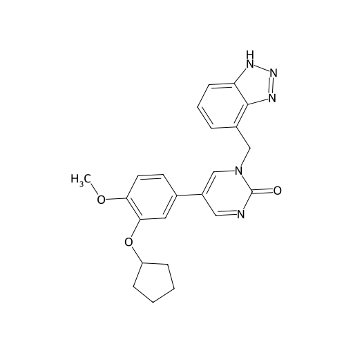 COc1ccc(-c2cnc(=O)n(Cc3cccc4[nH]nnc34)c2)cc1OC1CCCC1